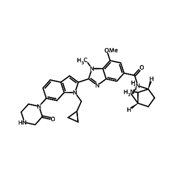 COc1cc(C(=O)N2C[C@H]3CC[C@@H]2[C@@H]3N)cc2nc(-c3cc4ccc(N5CCNCC5=O)cc4n3CC3CC3)n(C)c12